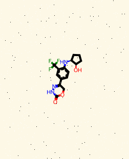 O=C1NN=C(c2ccc(N[C@H]3CCC[C@H]3O)c(C(F)(F)F)c2)CO1